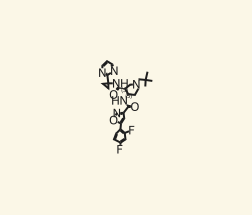 CC(C)(C)CN1CC[C@H](NC(=O)c2cc(-c3ccc(F)cc3F)on2)[C@@H](C(=O)NC2(c3ncccn3)CC2)C1